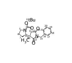 CC(C)(C)OC(=O)N1CCC[C@@H]1[C@@]1(C)CC(=O)N(Cc2ccccc2)C1=O